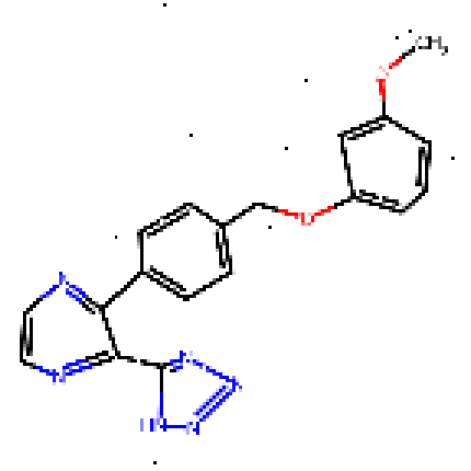 COc1cccc(OCc2ccc(-c3nccnc3-c3nnn[nH]3)cc2)c1